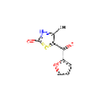 Cc1[nH]c(=O)sc1C(=O)c1ccco1